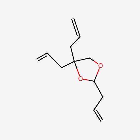 C=CCC1OCC(CC=C)(CC=C)O1